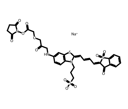 O=C(CNc1ccc2c(c1)SC(=CC=CC=C1C(=O)c3ccccc3S1(=O)=O)N2CCCS(=O)(=O)[O-])COCC(=O)ON1C(=O)CCC1=O.[Na+]